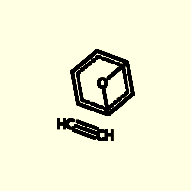 C#C.c1cc2cc(c1)O2